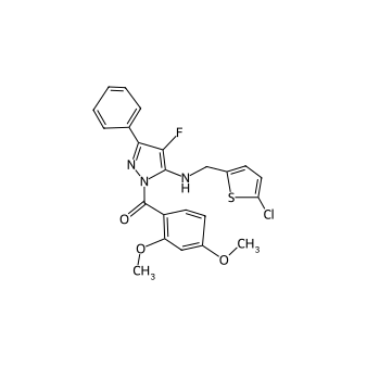 COc1ccc(C(=O)n2nc(-c3ccccc3)c(F)c2NCc2ccc(Cl)s2)c(OC)c1